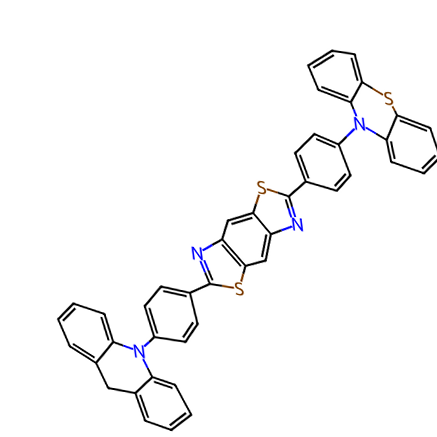 c1ccc2c(c1)Cc1ccccc1N2c1ccc(-c2nc3cc4sc(-c5ccc(N6c7ccccc7Sc7ccccc76)cc5)nc4cc3s2)cc1